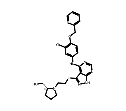 OC[C@H]1CCCN1CCOc1n[nH]c2ncnc(Nc3ccc(OCc4ccccn4)c(Cl)c3)c12